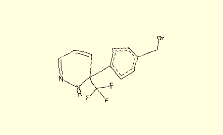 FC(F)(F)C1(c2ccc(CBr)cc2)C=CC=NN1